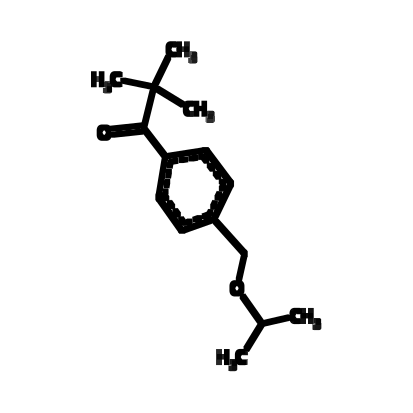 CC(C)OCc1ccc(C(=O)C(C)(C)C)cc1